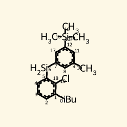 CCC(C)c1cccc([SiH2]c2cc(C)cc([Si](C)(C)C)c2)c1Cl